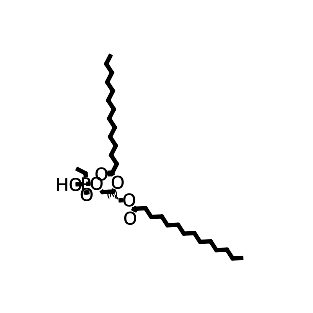 CCCCCCCCCCCCCC(=O)OC[C@H](COP(=O)(O)CC)OC(=O)CCCCCCCCCCCCC